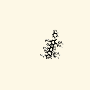 CCCC1CCN(Cc2cc(O)c3c(c2N(C)C)C[C@H]2C[C@H]4[C@H](N(C)C)C(O)=C(C(N)=O)C(=O)[C@@]4(O)C(O)=C2C3=O)CC1